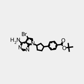 CC(C)(C)OC(=O)c1ccc(C2CCC(n3cc(Br)c4c(N)ncnc43)C2)cc1